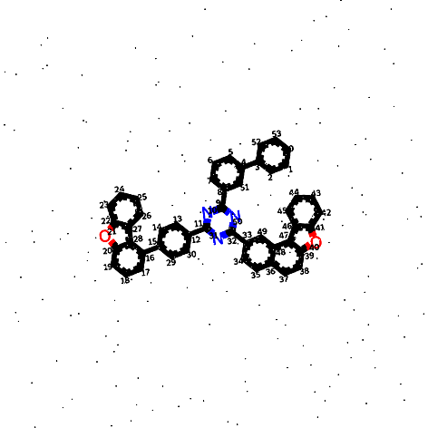 c1ccc(-c2cccc(-c3nc(-c4ccc(-c5cccc6oc7ccccc7c56)cc4)nc(-c4ccc5ccc6oc7ccccc7c6c5c4)n3)c2)cc1